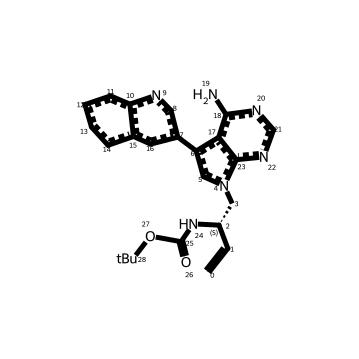 C=C[C@@H](Cn1cc(-c2cnc3ccccc3c2)c2c(N)ncnc21)NC(=O)OC(C)(C)C